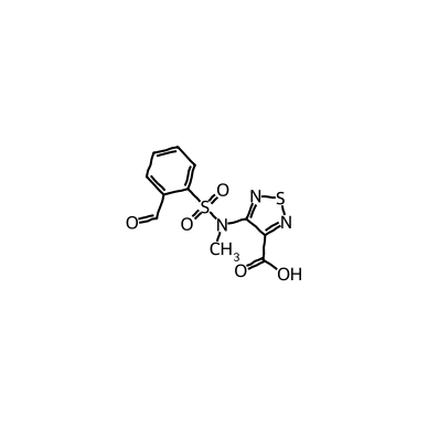 CN(c1nsnc1C(=O)O)S(=O)(=O)c1ccccc1C=O